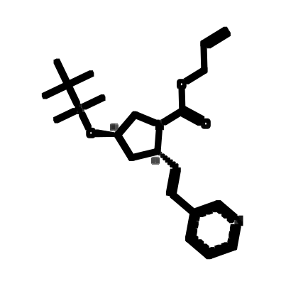 C=CCOC(=O)N1C[C@H](O[Si](C)(C)C(C)(C)C)C[C@H]1C=Cc1cccnc1